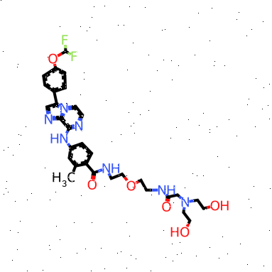 Cc1cc(Nc2nccn3c(-c4ccc(OC(F)F)cc4)cnc23)ccc1C(=O)NCCOCCNC(=O)CN(CCO)CCO